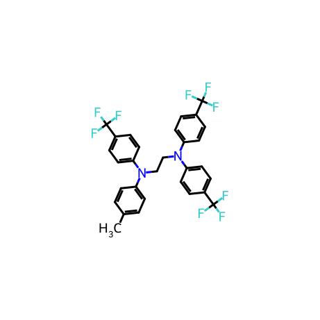 Cc1ccc(N(CCN(c2ccc(C(F)(F)F)cc2)c2ccc(C(F)(F)F)cc2)c2ccc(C(F)(F)F)cc2)cc1